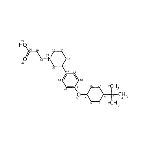 CC(C)(C)C1CCC(Oc2ccc(C3CCCN(CCC(=O)O)C3)cc2)CC1